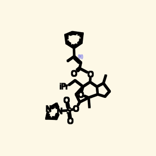 C/C(=C\C(=O)OC1C2C(C)CCC2C2(C)OC1(CC(C)C)CC2OS(=O)(=O)n1ccnc1)c1ccccc1